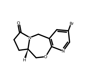 O=C1CC[C@H]2COc3ncc(Br)cc3CN12